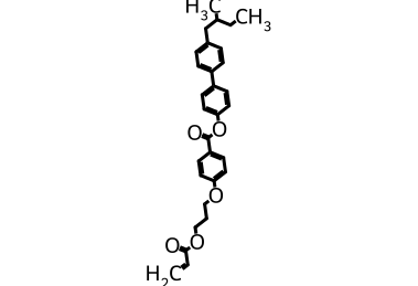 C=CC(=O)OCCCOc1ccc(C(=O)Oc2ccc(-c3ccc(CC(C)CC)cc3)cc2)cc1